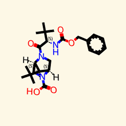 CC(C)(C)[C@H](NC(=O)OCc1ccccc1)C(=O)N1C[C@H]2N(C(=O)O)C[C@@H]1[C@]2(C)C(C)(C)C